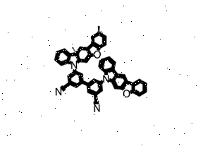 C[C@H]1C=CC2=C(C1)C1C[C@]3(C)c4ccccc4N(c4cc(C#N)cc(-c5cc(C#N)cc(-n6c7c#cccc7c7cc8c(cc76)oc6ccccc68)c5)c4)C3C=C1O2